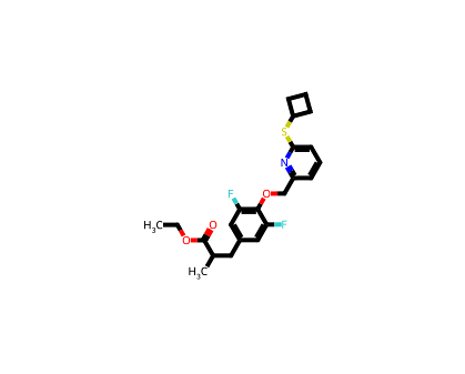 CCOC(=O)C(C)Cc1cc(F)c(OCc2cccc(SC3CCC3)n2)c(F)c1